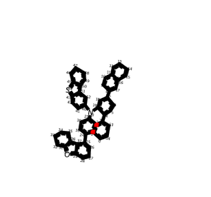 c1ccc(-c2ccc(-c3ccc4ccccc4c3)cc2N(c2ccc(-c3cccc4oc5ccccc5c34)cc2)c2ccc3sc4ccccc4c3c2)cc1